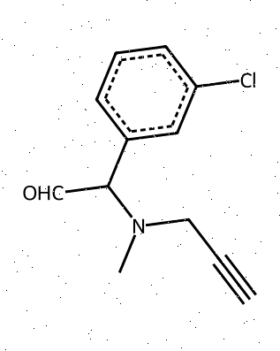 C#CCN(C)C(C=O)c1cccc(Cl)c1